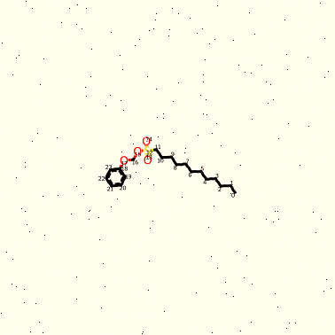 CCCCCCCCCCCCS(=O)(=O)OCOc1ccccc1